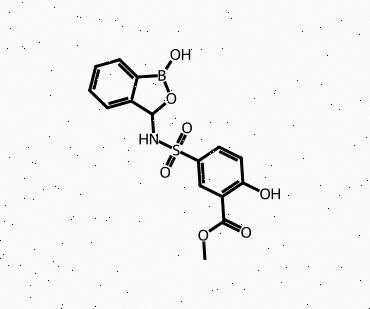 COC(=O)c1cc(S(=O)(=O)NC2OB(O)c3ccccc32)ccc1O